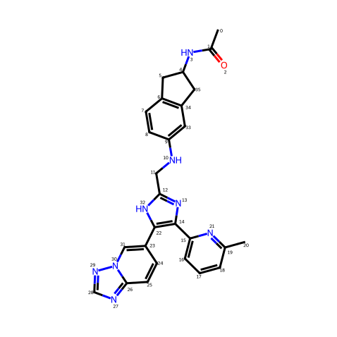 CC(=O)NC1Cc2ccc(NCc3nc(-c4cccc(C)n4)c(-c4ccc5ncnn5c4)[nH]3)cc2C1